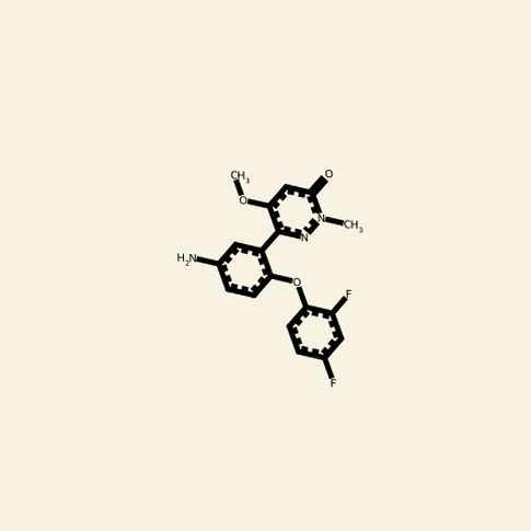 COc1cc(=O)n(C)nc1-c1cc(N)ccc1Oc1ccc(F)cc1F